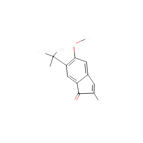 COc1cc2c(cc1C(C)(C)C)C(=O)C(C)=C2